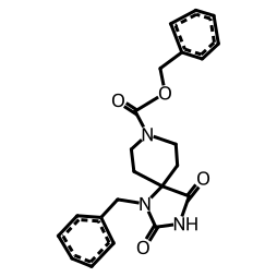 O=C(OCc1ccccc1)N1CCC2(CC1)C(=O)NC(=O)N2Cc1ccccc1